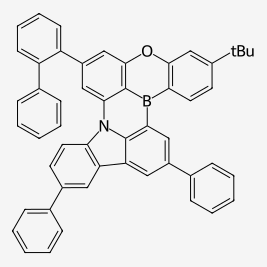 CC(C)(C)c1ccc2c(c1)Oc1cc(-c3ccccc3-c3ccccc3)cc3c1B2c1cc(-c2ccccc2)cc2c4cc(-c5ccccc5)ccc4n-3c12